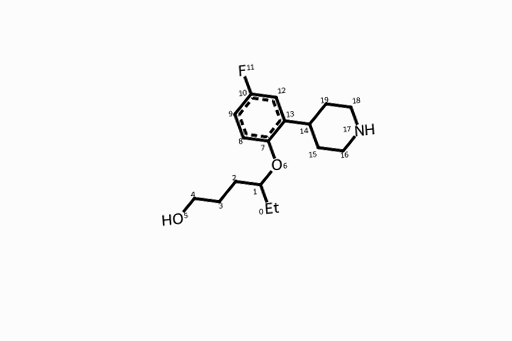 CCC(CCCO)Oc1ccc(F)cc1C1CCNCC1